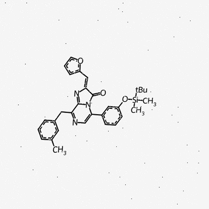 Cc1cccc(CC2=NC=C(c3cccc(O[Si](C)(C)C(C)(C)C)c3)N3C(=O)C(=Cc4ccco4)N=C23)c1